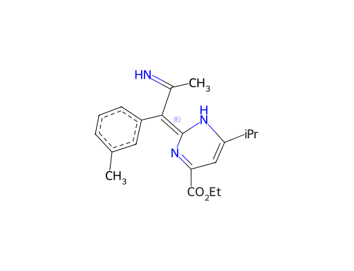 CCOC(=O)C1=N/C(=C(/C(C)=N)c2cccc(C)c2)NC(C(C)C)=C1